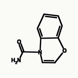 NC(=O)N1C=COc2ccccc21